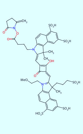 C=C1CCC(=O)N1OC(=O)CCCN1/C(=C/C2=C(O)C(=C/C3=[N+](CCOC)c4ccc5c(S(=O)(=O)O)cc(S(=O)(=O)O)cc5c4C3(C)CCCS(=O)(=O)O)/C2=O)C(C)(C)c2c1ccc1c(S(=O)(=O)O)cc(S(=O)(=O)O)cc21